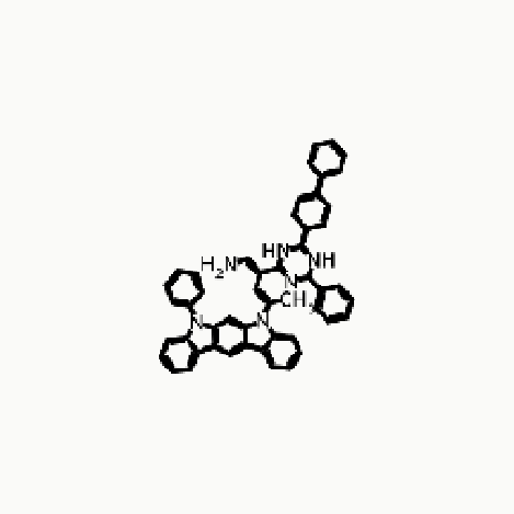 C/C(=C\C(=C/N)C1=NC(c2ccccc2)NC(C2C=CC(c3ccccc3)=CC2)N1)n1c2ccccc2c2cc3c4ccccc4n(-c4ccccc4)c3cc21